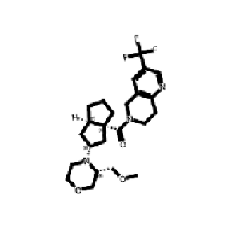 COC[C@@H]1COCCN1[C@@H]1C[C@H]2CCC[C@@]2(C(=O)N2CCc3ncc(C(F)(F)F)cc3C2)C1